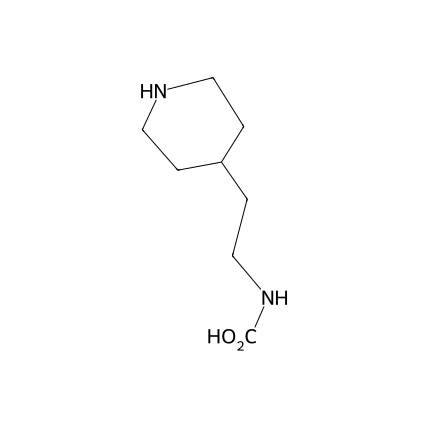 O=C(O)NCCC1CCNCC1